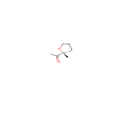 CC(=O)[C@@]1(C)CCCO1